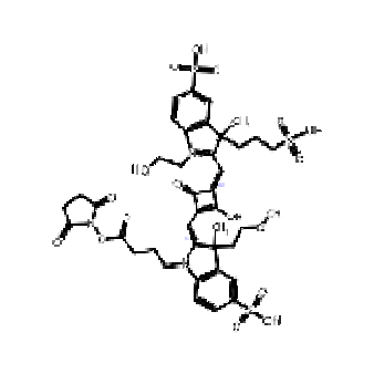 COCCC1(C)/C(=C\C2=C(O)C(=C/C3=[N+](CCO)c4ccc(S(=O)(=O)O)cc4C3(C)CCCS(=O)(=O)O)/C2=O)N(CCCC(=O)ON2C(=O)CCC2=O)c2ccc(S(=O)(=O)O)cc21